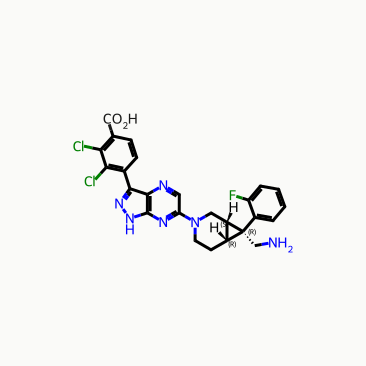 NC[C@]1(c2ccccc2F)[C@@H]2CCN(c3cnc4c(-c5ccc(C(=O)O)c(Cl)c5Cl)n[nH]c4n3)C[C@@H]21